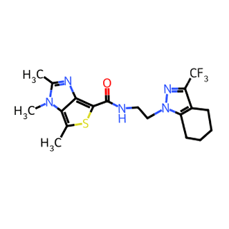 Cc1sc(C(=O)NCCn2nc(C(F)(F)F)c3c2CCCC3)c2nc(C)n(C)c12